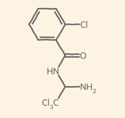 NC(NC(=O)c1ccccc1Cl)C(Cl)(Cl)Cl